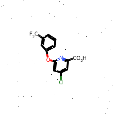 O=C(O)c1cc(Cl)cc(Oc2cccc(C(F)(F)F)c2)n1